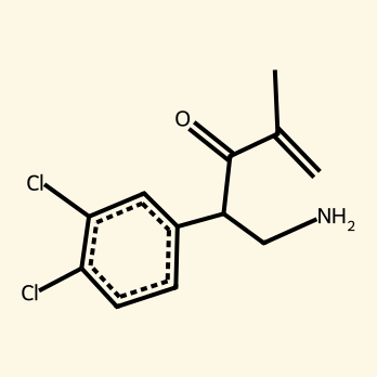 C=C(C)C(=O)C(CN)c1ccc(Cl)c(Cl)c1